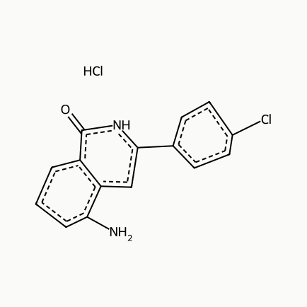 Cl.Nc1cccc2c(=O)[nH]c(-c3ccc(Cl)cc3)cc12